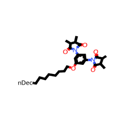 CCCCCCCCCCCCCCCCCCOc1cc(N2C(=O)C(C)C(C)C2=O)cc(N2C(=O)C(C)C(C)C2=O)c1